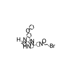 NC(=O)c1c(-c2ccc(Oc3ccccc3)cc2)nn2c1NCCC2C1CCN(C(=O)C=CCBr)CC1